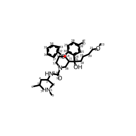 CNCC(CC(C)C)NC(=O)N1CCCC(C(O)(CCCCOC)c2cc(F)ccc2Oc2ccccc2)C1